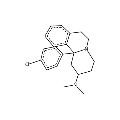 CN(C)C1CCN2CCc3ccccc3C2(c2ccc(Cl)cc2)C1